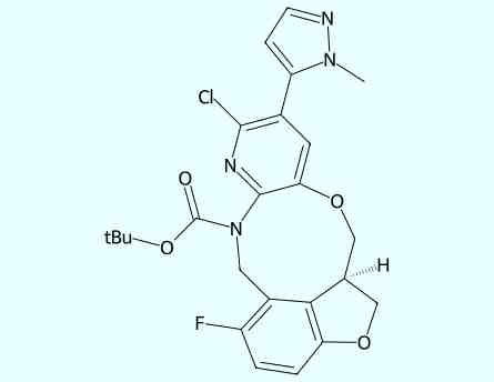 Cn1nccc1-c1cc2c(nc1Cl)N(C(=O)OC(C)(C)C)Cc1c(F)ccc3c1[C@@H](CO2)CO3